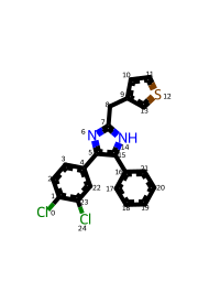 Clc1ccc(-c2nc(Cc3ccsc3)[nH]c2-c2ccccc2)cc1Cl